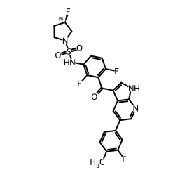 Cc1ccc(-c2cnc3[nH]cc(C(=O)c4c(F)ccc(NS(=O)(=O)N5CC[C@@H](F)C5)c4F)c3c2)cc1F